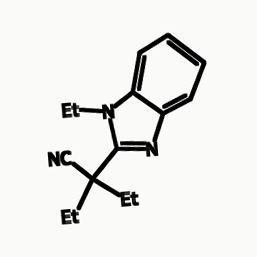 CCn1c(C(C#N)(CC)CC)nc2ccccc21